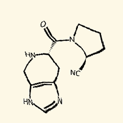 N#C[C@@H]1CCCN1C(=O)[C@@H]1Cc2nc[nH]c2CN1